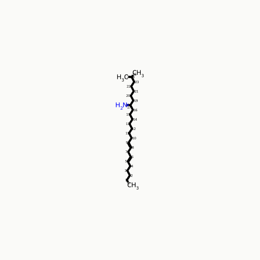 CCCCCC=CCC=CCCCCCCCC(N)CCCCCC(C)C